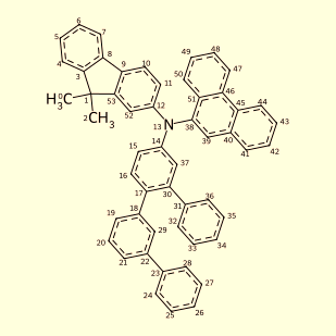 CC1(C)c2ccccc2-c2ccc(N(c3ccc(-c4cccc(-c5ccccc5)c4)c(-c4ccccc4)c3)c3cc4ccccc4c4ccccc34)cc21